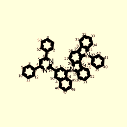 c1ccc(-c2cc(-c3ccccc3)nc(-c3cc(-n4c5ccccc5c5c4ccc4c6ccccc6n(-c6ccccc6)c45)c4ccccc4c3)n2)cc1